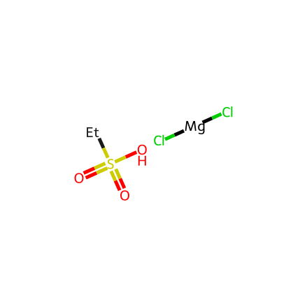 CCS(=O)(=O)O.[Cl][Mg][Cl]